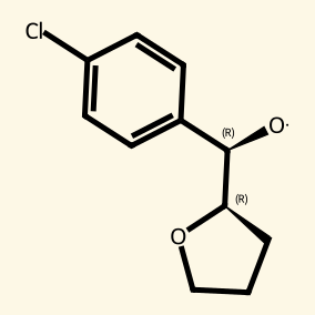 [O][C@H](c1ccc(Cl)cc1)[C@H]1CCCO1